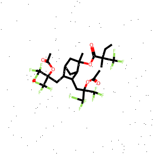 CCC(C)(C(=O)OC1(C)CC2CC1C(CC(OC(C)=O)(C(F)(F)F)C(F)(F)F)C2CC(OC(C)=O)(C(F)(F)F)C(F)(F)F)C(F)(F)F